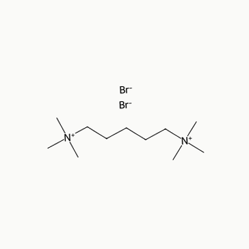 C[N+](C)(C)CCCCC[N+](C)(C)C.[Br-].[Br-]